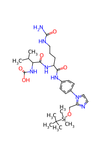 CC(C)C(NC(=O)O)C(=O)NC(CCCNC(N)=O)C(=O)Nc1ccc(-n2ccnc2CO[Si](C)(C)C(C)(C)C)cc1